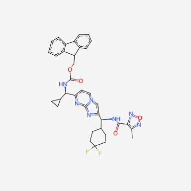 Cc1nonc1C(=O)N[C@H](c1cn2ccc([C@H](NC(=O)OCC3c4ccccc4-c4ccccc43)C3CC3)nc2n1)C1CCC(F)(F)CC1